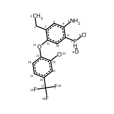 CCc1cc(N)c([PH](=O)Cl)cc1Oc1ccc(C(F)(F)F)cc1Cl